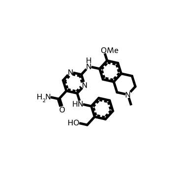 COc1cc2c(cc1Nc1ncc(C(N)=O)c(Nc3ccccc3CO)n1)CN(C)CC2